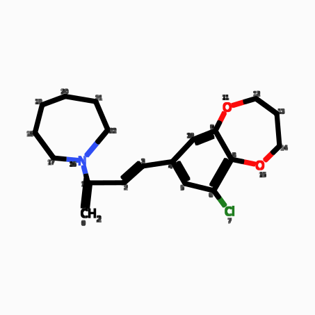 C=C(/C=C/c1cc(Cl)c2c(c1)OCCCO2)N1CCCCCC1